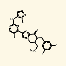 COCC1Cn2cc(-c3nc(Nc4ccnn4C)ncc3C)nc2C(=O)N1Cc1cc(F)cc(F)c1